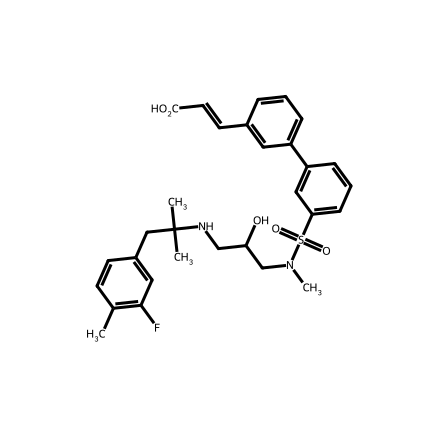 Cc1ccc(CC(C)(C)NCC(O)CN(C)S(=O)(=O)c2cccc(-c3cccc(C=CC(=O)O)c3)c2)cc1F